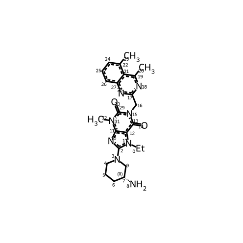 CCn1c(N2CCC[C@@H](N)C2)nc2c1c(=O)n(Cc1nc(C)c3c(C)cccc3n1)c(=O)n2C